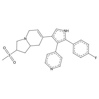 CS(=O)(=O)C1CC2CC(c3c[nH]c(-c4ccc(F)cc4)c3-c3ccncc3)=CCN2C1